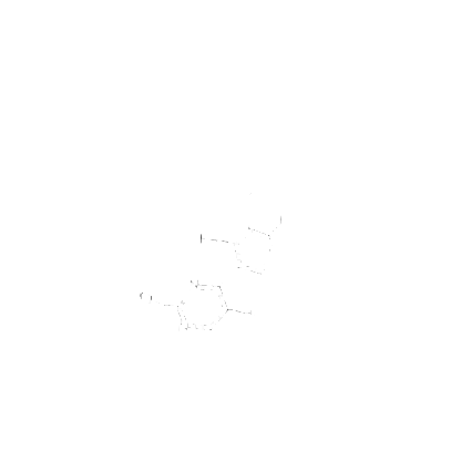 COc1c(F)ccc(-c2nc(Cl)ncc2F)c1F